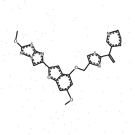 C=C(c1cccnc1)c1nc(COc2cc(OC)cc3oc(-c4cn5nc(OC)sc5n4)cc23)cs1